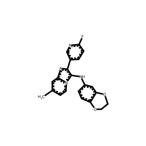 Cc1ccn2c(Nc3ccc4c(c3)OCCO4)c(-c3ccc(F)nc3)nc2c1